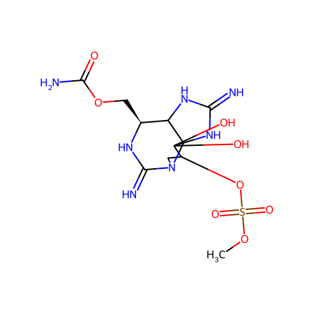 COS(=O)(=O)OC1CN2C(=N)N[C@@H](COC(N)=O)C3NC(=N)NC32C1(O)O